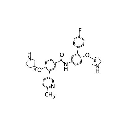 Cc1ccc(-c2cc(C(=O)Nc3ccc(O[C@H]4CCNC4)c(-c4ccc(F)cc4)c3)ccc2O[C@H]2CCNC2)cn1